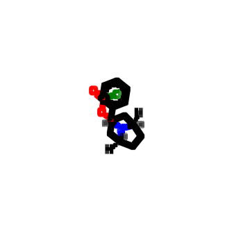 O=C(Cl)O[C@H]1C[C@H]2CC[C@@H](C1)N2Cc1ccccc1